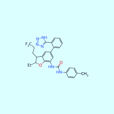 CCC1Oc2c(NC(=O)Nc3ccc(C)cc3)cc(-c3ccccc3-c3nnn[nH]3)cc2C1CCC(F)(F)F